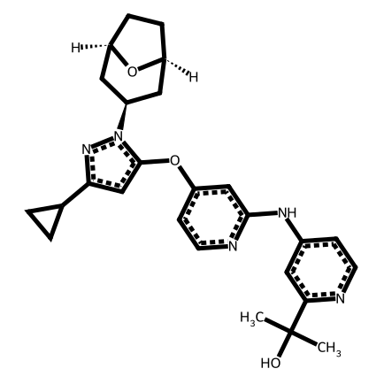 CC(C)(O)c1cc(Nc2cc(Oc3cc(C4CC4)nn3[C@H]3C[C@H]4CC[C@@H](C3)O4)ccn2)ccn1